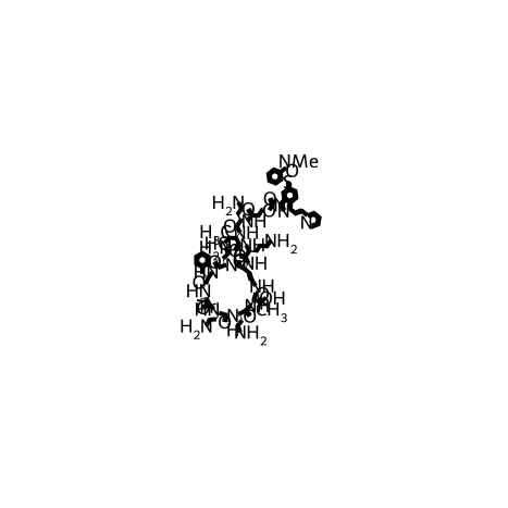 CNC(=O)c1ccccc1Sc1ccc2c(/C=C/c3ccccn3)nn(C(=O)OCCC(=O)N[C@H](CCN)C(=O)N[C@H](C(=O)N[C@@H](CCCN)C(=O)N[C@@H]3/C=C/NC(=O)[C@@H]([C@H](C)O)NC(=O)[C@H](CCN)NC(=O)[C@H](CCN)NC(=O)[C@H](CC(C)C)NC(=O)[C@H](Cc4ccccc4)NC(=O)[C@H](CCN)NC3=O)[C@H](C)O)c2c1